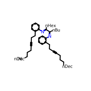 CCCCCCCCCCCCCC#CCCc1ccccc1N=C(CCCC)C(CCCCCC)=Nc1ccccc1CCC#CCCCCCCCCCCCCC.[Ni]